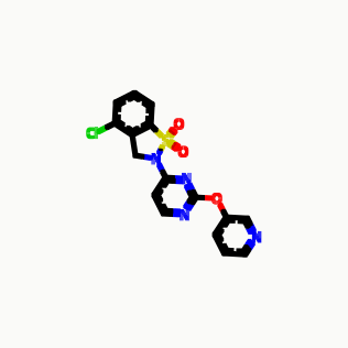 O=S1(=O)c2cccc(Cl)c2CN1c1ccnc(Oc2cccnc2)n1